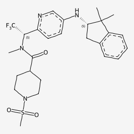 CN(C(=O)C1CCN(S(C)(=O)=O)CC1)[C@@H](c1ccc(N[C@H]2Cc3ccccc3C2(C)C)cn1)C(F)(F)F